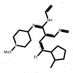 C=CNC(=N/C1CCN(SC)CC1)/C(=C\N=C)/C=C(/CC)C1CCCC1C